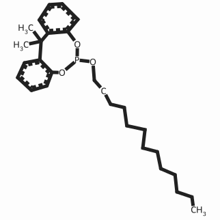 CCCCCCCCCCCCCOP1Oc2ccccc2C(C)(C)c2ccccc2O1